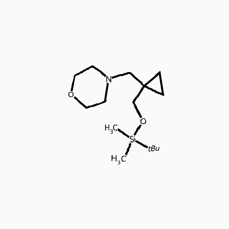 CC(C)(C)[Si](C)(C)OCC1(CN2CCOCC2)CC1